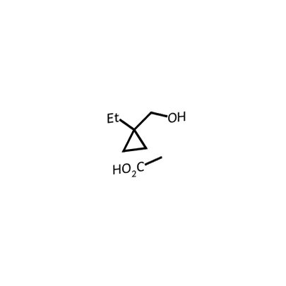 CC(=O)O.CCC1(CO)CC1